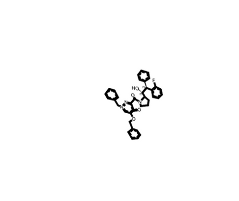 O=C(c1nn(Cc2ccccc2)cc(OCc2ccccc2)c1=O)N1CCCC1[C@H](O)[C@@H](c1ccccc1)c1ccccc1F